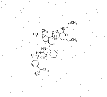 C=CCCC(NC(=O)[C@@H]1C2C(CN1C(=O)[C@@H](NC(=O)NC(C)(C)c1cccc(C(C)C)c1)C1CCCCC1)C2(C)C)C(=O)C(=O)NCC=C